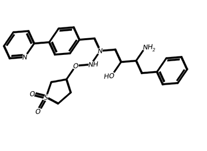 NC(Cc1ccccc1)C(O)CN(Cc1ccc(-c2ccccn2)cc1)NOC1CCS(=O)(=O)C1